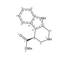 COC(=O)[C@@H]1CNCc2[nH]c3ccccc3c21